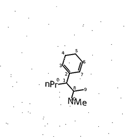 CCCC(C1=CCCC=C1)C(C)NC